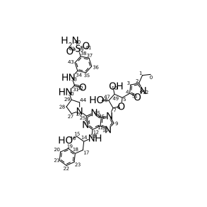 CCc1cc(C2OC(n3cnc4c(NC(CO)Cc5ccccc5)nc(N5CCC(NC(=O)Nc6cccc(S(N)(=O)=O)c6)C5)nc43)C(O)C2O)on1